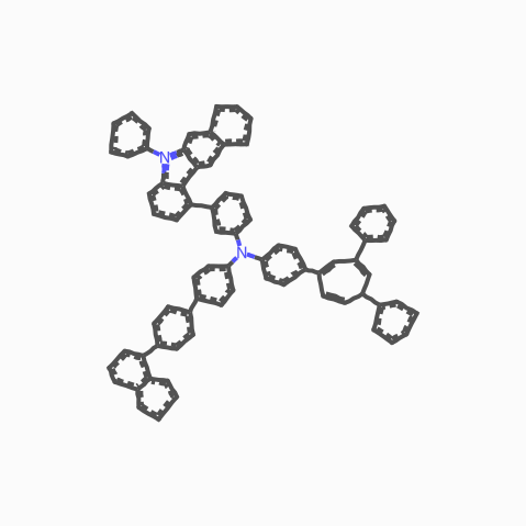 C1=CC(c2ccccc2)C=C(c2ccccc2)C=C1c1ccc(N(c2ccc(-c3ccc(-c4cccc5ccccc45)cc3)cc2)c2cccc(-c3cccc4c3c3cc5ccccc5cc3n4-c3ccccc3)c2)cc1